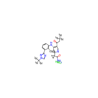 Cl.Cl.[2H]C([2H])([2H])CC(=O)c1cnc(C2(C(N)=O)CC2)cc1Nc1cccc(-c2ncn(C([2H])([2H])[2H])n2)c1OC